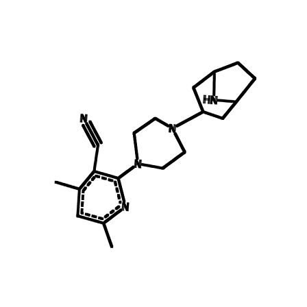 Cc1cc(C)c(C#N)c(N2CCN(C3CC4CCC(C3)N4)CC2)n1